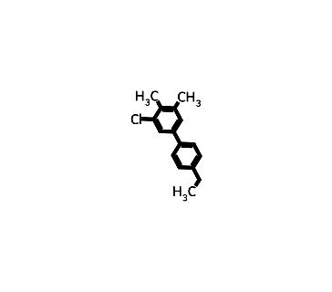 CCc1ccc(-c2cc(C)c(C)c(Cl)c2)cc1